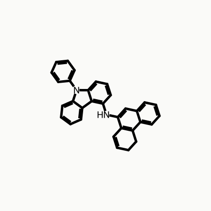 C1=Cc2c(Nc3cccc4c3c3ccccc3n4-c3ccccc3)cc3ccccc3c2CC1